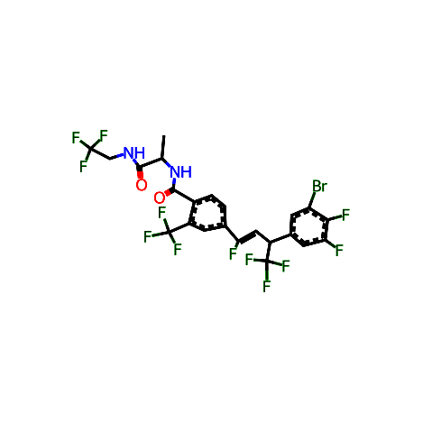 CC(NC(=O)c1ccc(/C(F)=C/C(c2cc(F)c(F)c(Br)c2)C(F)(F)F)cc1C(F)(F)F)C(=O)NCC(F)(F)F